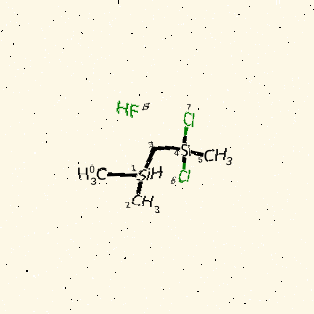 C[SiH](C)C[Si](C)(Cl)Cl.F